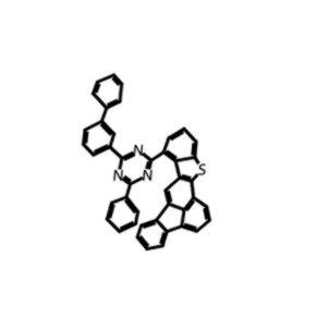 c1ccc(-c2cccc(-c3nc(-c4ccccc4)nc(-c4cccc5sc6c7cccc8c7c(cc6c45)-c4ccccc4-8)n3)c2)cc1